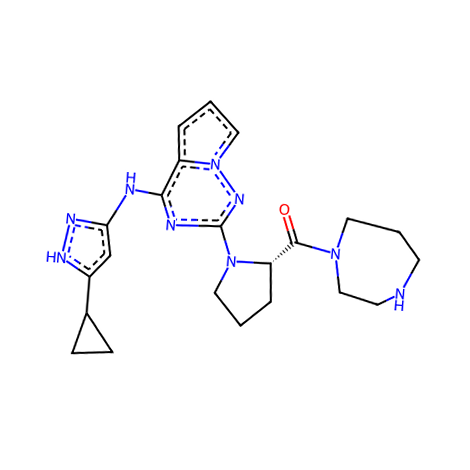 O=C([C@@H]1CCCN1c1nc(Nc2cc(C3CC3)[nH]n2)c2cccn2n1)N1CCCNCC1